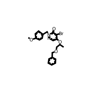 COc1ccc(Cn2ncc(OC(C)COCc3ccccc3)c(Br)c2=O)cc1